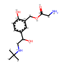 CC(C)(C)NCC(O)c1ccc(O)c(COC(=O)CN)c1